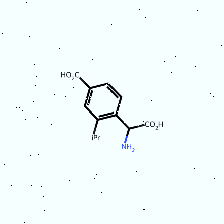 CC(C)c1cc(C(=O)O)ccc1C(N)C(=O)O